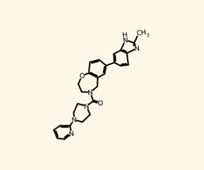 Cc1nc2ccc(-c3ccc4c(c3)CN(C(=O)N3CCN(c5ccccn5)CC3)CCO4)cc2[nH]1